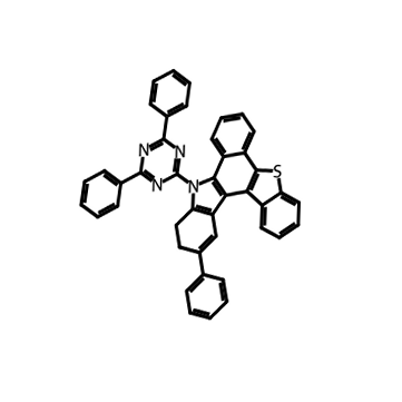 C1=C(c2ccccc2)CCc2c1c1c3c4ccccc4sc3c3ccccc3c1n2-c1nc(-c2ccccc2)nc(-c2ccccc2)n1